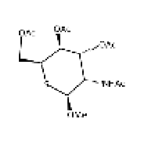 CO[C@H]1S[C@@H](COC(C)=O)[C@@H](OC(C)=O)[C@H](OC(C)=O)[C@@H]1NC(C)=O